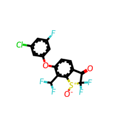 O=C1c2ccc(Oc3cc(F)cc(Cl)c3)c(C(F)F)c2[S+]([O-])C1(F)F